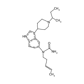 CC=CCCN(C(N)=O)c1ccc2[nH]cc(C3CCN(C(C)CC)CC3)c2c1